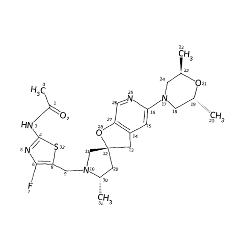 CC(=O)Nc1nc(F)c(CN2C[C@@]3(Cc4cc(N5C[C@@H](C)O[C@H](C)C5)ncc4O3)C[C@@H]2C)s1